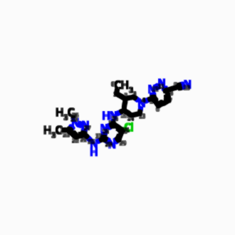 CCC1CN(c2ccc(C#N)nn2)CCC1Nc1nc(Nc2cc(C)n(C)n2)ncc1Cl